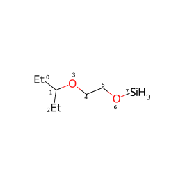 CCC(CC)OCCO[SiH3]